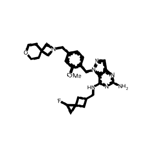 COc1cc(CN2CC3(CCOCC3)C2)ccc1Cn1ncc2nc(N)nc(NCC3CC4(C3)CC4F)c21